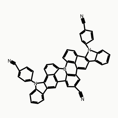 N#Cc1ccc(-n2c3ccccc3c3cc4c5c(cccc5c32)B2c3c-4cc(C#N)cc3-c3cc4c5ccccc5n(-c5ccc(C#N)cc5)c4c4cccc2c34)cc1